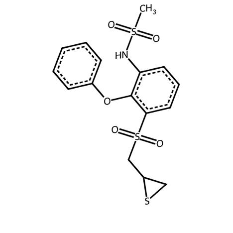 CS(=O)(=O)Nc1cccc(S(=O)(=O)CC2CS2)c1Oc1ccccc1